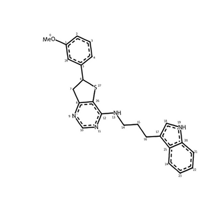 COc1cccc(C2Cc3ncnc(NCCCc4c[nH]c5ccccc45)c3S2)c1